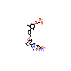 Cc1cc(OCCCS(C)(=O)=O)cc(C)c1-c1cccc(COc2ccc(C3=CN(C4=CC(O)N[S+]4[O-])NC3)cc2)c1